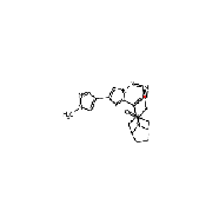 Cn1cc(-c2cc3c(N4CC5CCC(C4)N5C(=O)CC#N)ncnn3c2)cn1